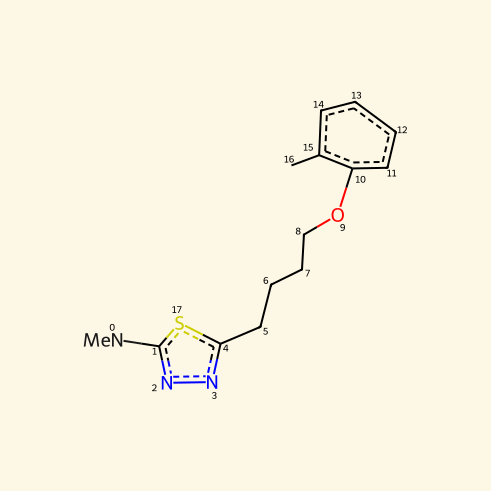 CNc1nnc(CCCCOc2ccccc2C)s1